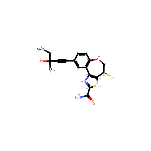 COCC(C)(O)C#Cc1ccc2c(c1)-c1nc(C(N)=O)sc1[C@H](F)CO2